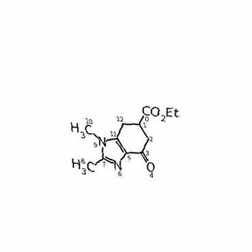 CCOC(=O)C1CC(=O)c2nc(C)n(C)c2C1